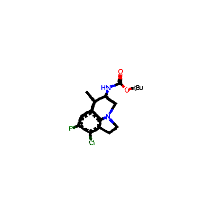 CC1c2cc(F)c(Cl)c3c2N(CC3)CC1NC(=O)OC(C)(C)C